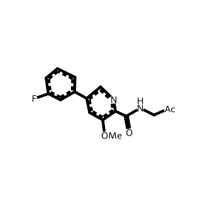 COc1cc(-c2cccc(F)c2)cnc1C(=O)NCC(C)=O